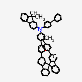 C=Cc1ccc(-c2ccc3c(c2)C2(c4ccccc4-3)c3ccccc3-c3ccc(-c4ccc(-c5ccc(N(c6ccc(-c7ccccc7)cc6)c6ccc7c(c6)C(C)(C)c6ccccc6-7)cc5)cc4)cc32)cc1